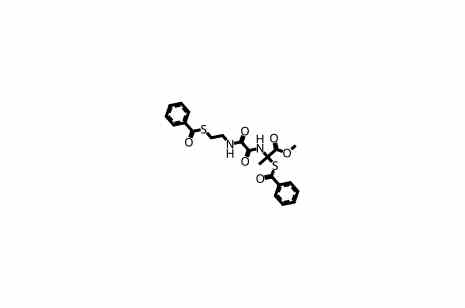 COC(=O)C(C)(NC(=O)C(=O)NCCSC(=O)c1ccccc1)SC(=O)c1ccccc1